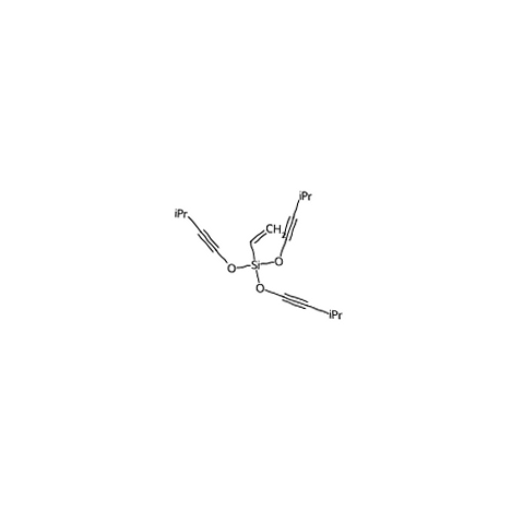 C=C[Si](OC#CC(C)C)(OC#CC(C)C)OC#CC(C)C